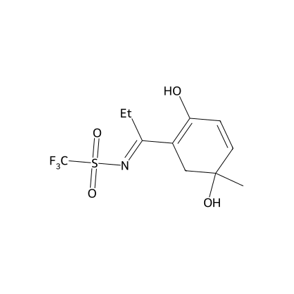 CCC(=NS(=O)(=O)C(F)(F)F)C1=C(O)C=CC(C)(O)C1